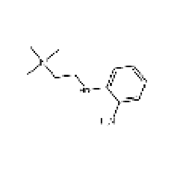 C[N+](C)(C)CCNc1ccccc1N